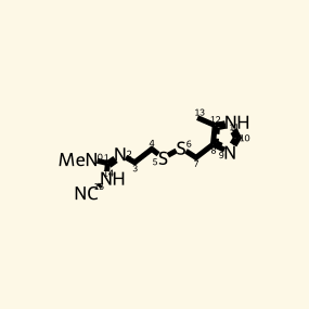 CN/C(=N/CCSSCc1nc[nH]c1C)NC#N